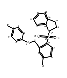 Cc1ccc(SCc2cc(C)ccc2S(=O)(=O)N2CCc3ccccc32)cc1